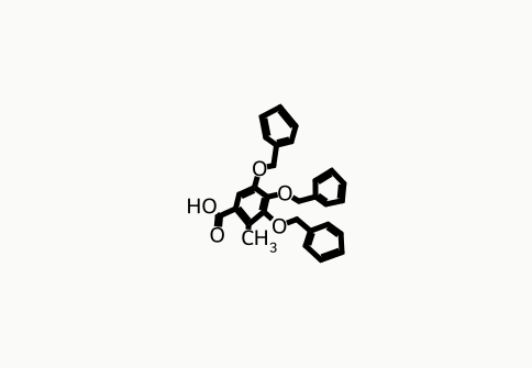 Cc1c(C(=O)O)cc(OCc2ccccc2)c(OCc2ccccc2)c1OCc1ccccc1